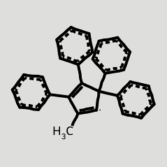 CC1=[C]C(c2ccccc2)(c2ccccc2)C(c2ccccc2)=C1c1ccccc1